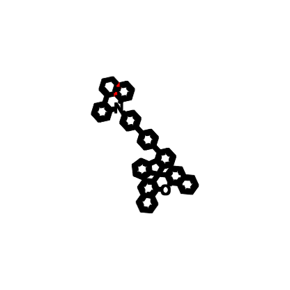 C1=CC(c2ccccc2N(c2ccccc2)c2ccc(-c3ccc(-c4cccc5c4-c4ccccc4C54c5ccc6ccccc6c5Oc5c4ccc4ccccc54)cc3)cc2)=CCC1